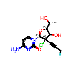 C[C@@H](O)[C@H]1O[C@@H](n2ccc(N)nc2=O)[C@@](Cl)(C#CCF)C1O